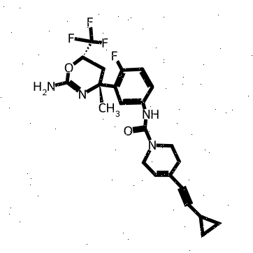 C[C@]1(c2cc(NC(=O)N3CC=C(C#CC4CC4)CC3)ccc2F)C[C@@H](C(F)(F)F)OC(N)=N1